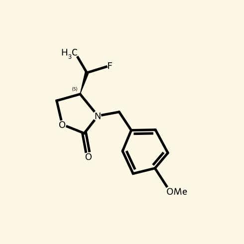 COc1ccc(CN2C(=O)OC[C@H]2C(C)F)cc1